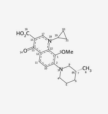 COc1c(N2CCC[C@@H](C)C2)ccc2c(=O)c(C(=O)O)cn(C3CC3)c12